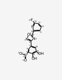 O=[N+]([O-])c1cc(-c2noc(-c3cccc(F)n3)n2)cc(O)c1O